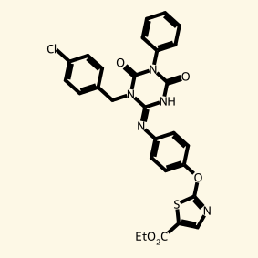 CCOC(=O)c1cnc(Oc2ccc(/N=c3\[nH]c(=O)n(-c4ccccc4)c(=O)n3Cc3ccc(Cl)cc3)cc2)s1